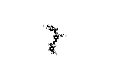 COc1cc(CCC(=O)NC2CCC(C)CC2)ccc1OCC(=O)N1CCN(C)CC1